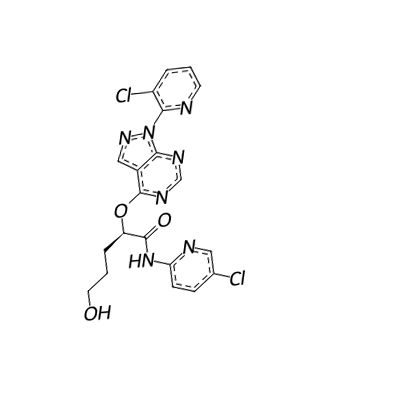 O=C(Nc1ccc(Cl)cn1)[C@@H](CCCO)Oc1ncnc2c1cnn2-c1ncccc1Cl